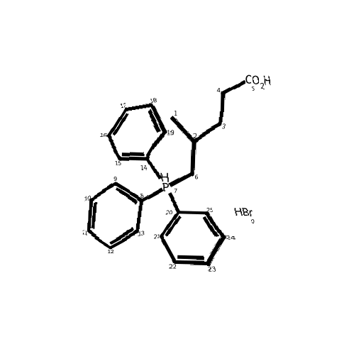 Br.CC(CCC(=O)O)C[PH](c1ccccc1)(c1ccccc1)c1ccccc1